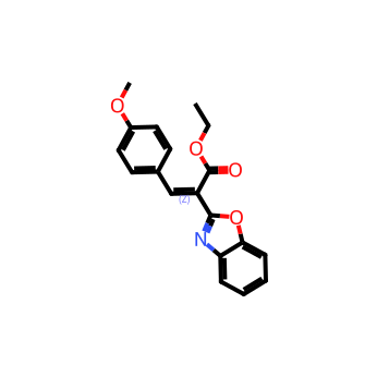 CCOC(=O)/C(=C\c1ccc(OC)cc1)c1nc2ccccc2o1